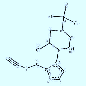 C#CCSc1nccn1C1NCC(C(F)(F)F)CC1Cl